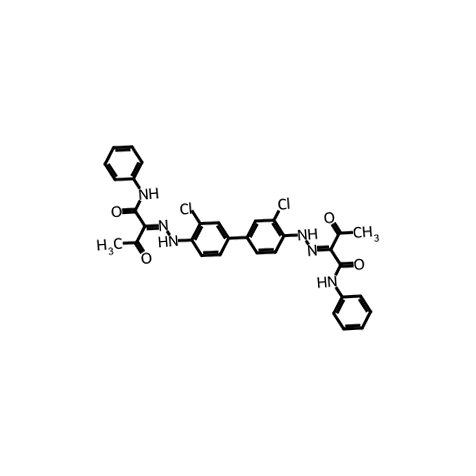 CC(=O)/C(=N\Nc1ccc(-c2ccc(N/N=C(\C(C)=O)C(=O)Nc3ccccc3)c(Cl)c2)cc1Cl)C(=O)Nc1ccccc1